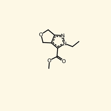 CCn1nc2c(c1C(=O)OC)COC2